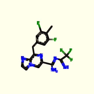 Cc1c(F)cc(Cc2nc(/C(N)=N/C(=N)C(F)(F)F)cn3ccnc23)cc1F